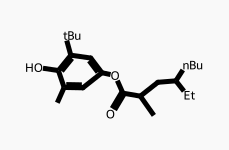 CCCCC(CC)CC(C)C(=O)Oc1cc(C)c(O)c(C(C)(C)C)c1